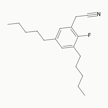 CCCCCc1cc(CC#N)c(F)c(CCCCC)c1